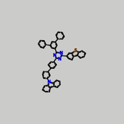 c1ccc(-c2cc(-c3ccccc3)cc(-c3nc(-c4ccc(-c5cccc(-n6c7ccccc7c7ccccc76)c5)cc4)nc(-c4ccc5c(c4)sc4ccccc45)n3)c2)cc1